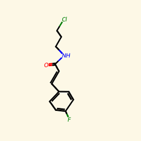 O=C(C=Cc1ccc(F)cc1)NCCCCl